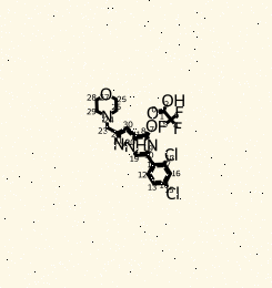 O=C(O)C(F)(F)F.O=c1[nH]c(-c2ccc(Cl)cc2Cl)cn2nc(CN3CCOCC3)cc12